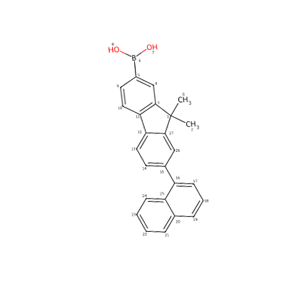 CC1(C)c2cc(B(O)O)ccc2-c2ccc(-c3cccc4ccccc34)cc21